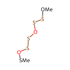 COSSOSSOSC